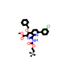 COC(=O)c1nc(NC(=O)OCC[Si](C)(C)C)c2nc(-c3cccc(Cl)c3)ccc2c1OCc1ccccc1